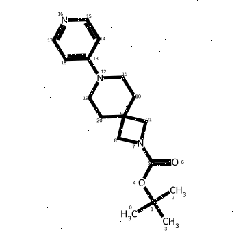 CC(C)(C)OC(=O)N1CC2(CCN(c3ccncc3)CC2)C1